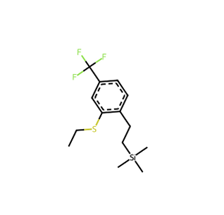 CCSc1cc(C(F)(F)F)ccc1CC[Si](C)(C)C